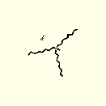 CCCCCCCC[N+](C)(CCCCCCCC)CCCCCCCC.[C-]#N